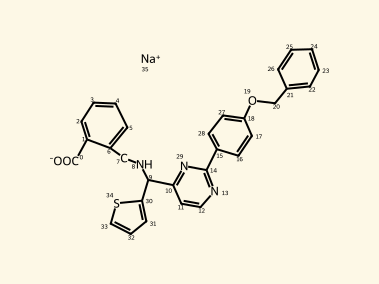 O=C([O-])c1ccccc1CNC(c1ccnc(-c2ccc(OCc3ccccc3)cc2)n1)c1cccs1.[Na+]